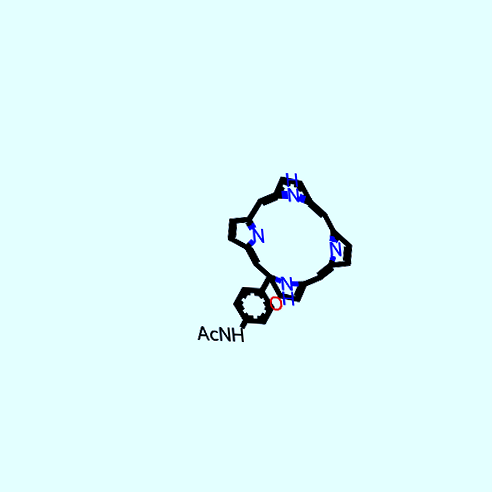 CC(=O)Nc1ccc(C23C=C4C=CC(=N4)C=c4ccc([nH]4)=CC4=NC(=CC(=CC2=O)N3)C=C4)cc1